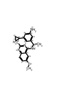 COc1[c]cc2nc(C)nc(N[C@H](C)c3cc(N)cc(C4CC4)c3)c2c1